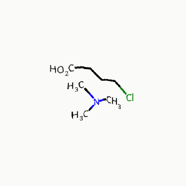 CN(C)C.O=C(O)CCCCl